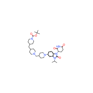 CC(C)n1c(=O)n(C2CCC(=O)NC2=O)c2ccc(N3CCC(CN4CCC(CC5CCN(C(=O)OC(C)(C)C)CC5)CC4)CC3)cc21